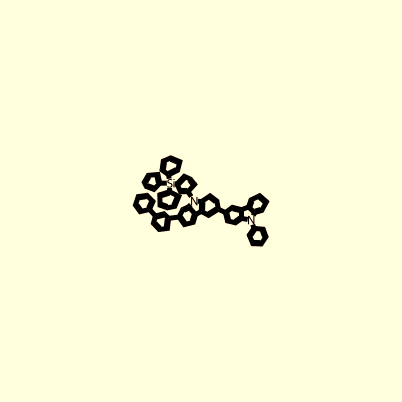 c1ccc(-c2cccc(-c3ccc4c5cc(-c6ccc7c(c6)c6ccccc6n7-c6ccccc6)ccc5n(-c5cccc([Si](c6ccccc6)(c6ccccc6)c6ccccc6)c5)c4c3)c2)cc1